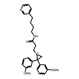 COc1cccc(C2(c3cccc(OC)c3)C[C@@H]2CCC(=O)NCCCCc2cccnc2)c1